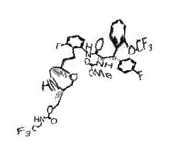 COC(=O)N[C@H](C(=O)Nc1cccc(F)c1CC[C@@H]1CN[C@H](COC(=O)NCC(F)(F)F)CO1)[C@@H](c1ccc(F)cc1)c1ccccc1OC(F)(F)F